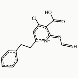 N=C/N=c1\[nH]c(CCc2ccccc2)cc(Cl)c1C(=O)O